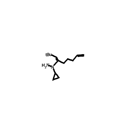 C=CCCC/C(=C/C(C)(C)C)N(N)C1CC1